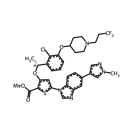 COC(=O)c1sc(-n2cnc3cc(-c4cnn(C)c4)ccc32)cc1O[C@H](C)c1cccc(OC2CCN(CCC(F)(F)F)CC2)c1Cl